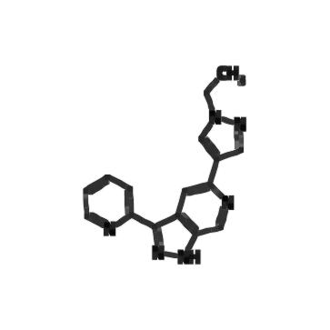 CCn1cc(-c2cc3c(-c4ccccn4)n[nH]c3cn2)cn1